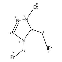 CCN1N=CN(CC(C)C)C1CC(C)C